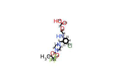 CC(OC(=O)N1CCN(Cc2cc(Cl)ccc2NCCOCC(=O)O)CC1)C(F)(F)F